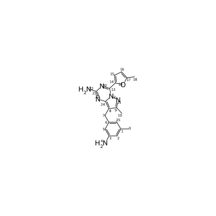 Cc1cc(N)cc(Cc2c(C)nn3c(-c4ccc(C)o4)nc(N)nc23)c1